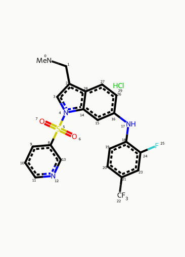 CNCc1cn(S(=O)(=O)c2cccnc2)c2cc(Nc3ccc(C(F)(F)F)cc3F)ccc12.Cl